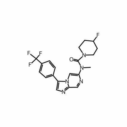 CN(C(=O)N1CCC(F)CC1)c1cn2c(-c3ccc(C(F)(F)F)cc3)cnc2cn1